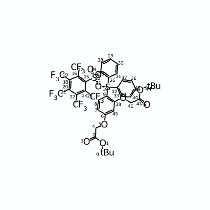 CC(C)(C)OC(=O)COc1ccc(S(OS(=O)(=O)c2c(C(F)(F)F)c(C(F)(F)F)c(C(F)(F)F)c(C(F)(F)F)c2C(F)(F)F)(c2ccccc2)c2ccccc2)c(OCC(=O)OC(C)(C)C)c1